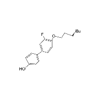 CC[C@H](C)CCCOc1ccc(-c2ccc(O)cc2)cc1F